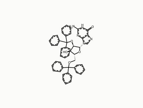 Nc1nc2c(ncn2[C@@H]2O[C@H](COC(c3ccccc3)(c3ccccc3)c3ccccc3)[C@@H](O)[C@H]2OC(c2ccccc2)(c2ccccc2)c2ccccc2)c(=O)[nH]1